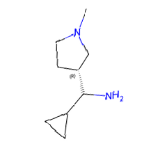 CN1CC[C@@H](C(N)C2CC2)C1